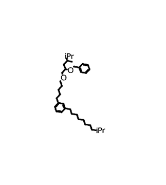 CC(C)CCCCCCCCc1cccc(CCCCCOCC(CC(C)C(C)C)OCc2ccccc2)c1